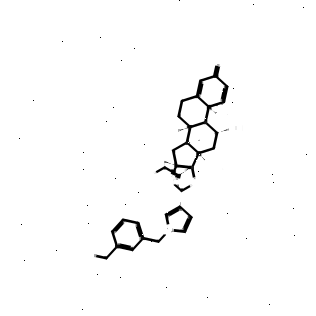 C[C@]12C=CC(=O)C=C1CC[C@@H]1C2[C@@H](O)C[C@@]2(C)[C@H]1C[C@H]1O[C@@H](c3ccn(Cc4cccc(CO)c4)c3)O[C@]12C(=O)CO